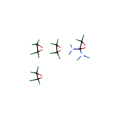 FC1(F)OC1(F)F.FC1(F)OC1(F)F.FC1(F)OC1(F)F.FN(F)C1(N(F)F)OC1(F)F